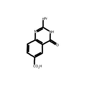 CCCc1nc2ccc(C(=O)O)cc2c(=O)[nH]1